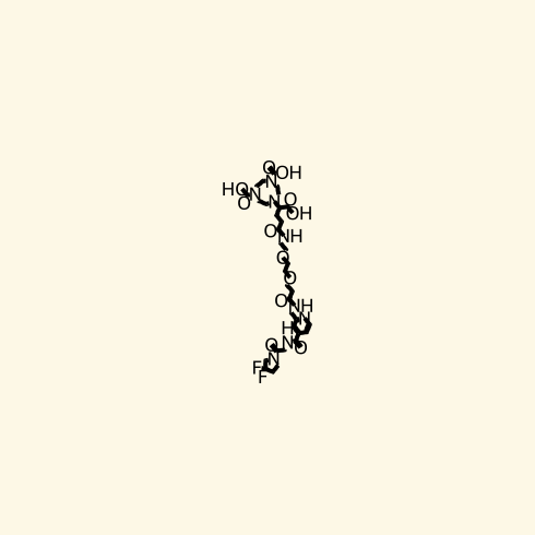 O=C(CCC(C(=O)O)N1CCN(C(=O)O)CCN(C(=O)O)CC1)NCCOCCOCCC(=O)NCc1cc(C(=O)NCC(=O)N2CCC(F)(F)C2)ccn1